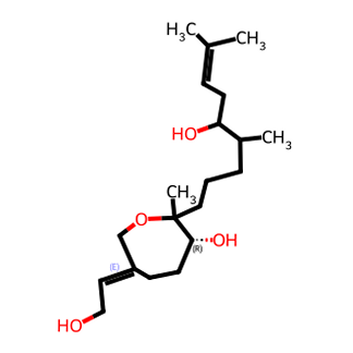 CC(C)=CCC(O)C(C)CCCC1(C)OC/C(=C/CO)CC[C@H]1O